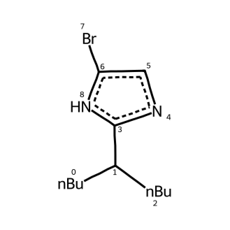 CCCCC(CCCC)c1ncc(Br)[nH]1